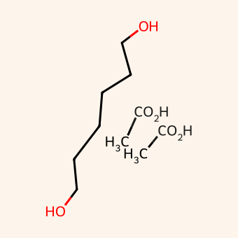 CC(=O)O.CC(=O)O.OCCCCCCO